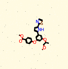 COCC(C)Oc1cc(Oc2ccc(C(=O)OC)cc2)cc(-c2ccc(-c3nccs3)[nH]2)c1